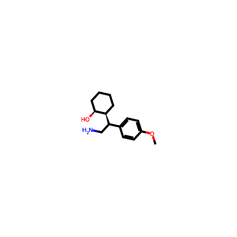 COc1ccc(C(CN)[C@@H]2CCCC[C@@H]2O)cc1